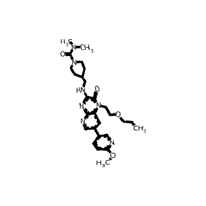 CCCOCCn1c(=O)c(NCC2CCN(C(=O)N(C)C)CC2)nc2ncc(-c3ccc(OC)nc3)cc21